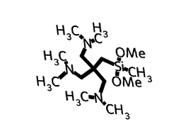 CO[Si](C)(CC(CN(C)C)(CN(C)C)CN(C)C)OC